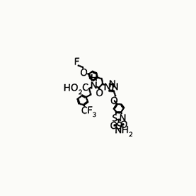 NS(=O)(=O)c1nc2ccc(OCc3cn(C(Cc4ccc(OCCF)cc4)C(=O)NC(Cc4cccc(C(F)(F)F)c4)C(=O)O)nn3)cc2s1